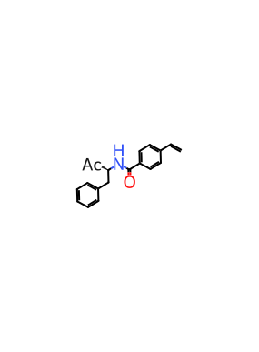 C=Cc1ccc(C(=O)N[C@@H](Cc2ccccc2)C(C)=O)cc1